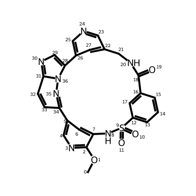 COc1ncc2cc1NS(=O)(=O)c1cccc(c1)C(=O)NCc1cncc(c1)-c1cnc3ccc-2nn13